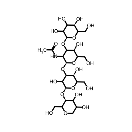 CC(=O)NC1C(O[C@@H]2OC(CO)[C@H](O)C(O)C2O)[C@@H](O)C(CO)O[C@H]1OC1C(O)[C@H](O[C@@H]2C(CO)OCC(O)C2O)OC(CO)[C@@H]1O